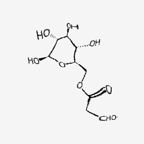 O=[C]CC(=O)OC[C@H]1O[C@@H](O)[C@H](O)[C@@H](O)[C@@H]1O